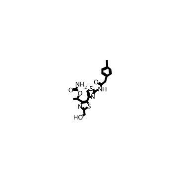 Cc1ccc(CC(=O)Nc2nc(-c3sc(CO)nc3C(C)OC(N)=O)cs2)cc1